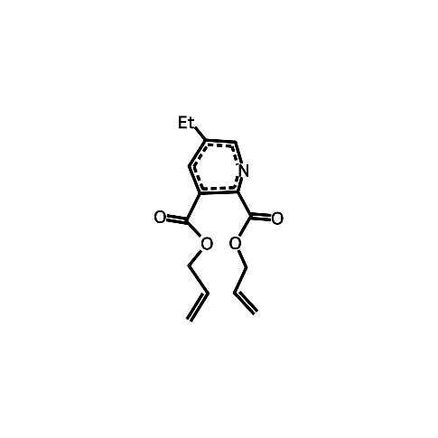 C=CCOC(=O)c1cc(CC)cnc1C(=O)OCC=C